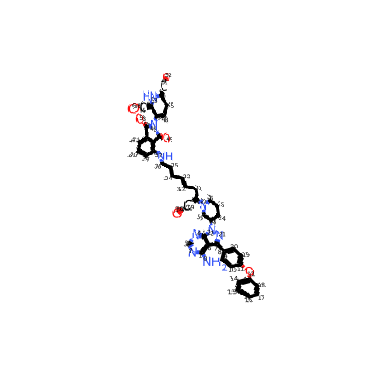 Nc1ncnc2c1c(-c1ccc(Oc3ccccc3)cc1)nn2[C@@H]1CCCN(C(=C=O)CCCCCCNc2cccc3c2C(=O)N(C2CCC(=C=O)NC2=C=O)C3=O)C1